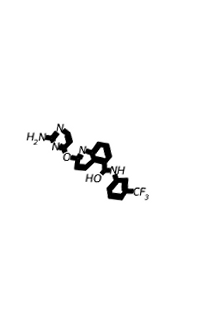 Nc1nccc(Oc2ccc3c(C(O)Nc4cccc(C(F)(F)F)c4)cccc3n2)n1